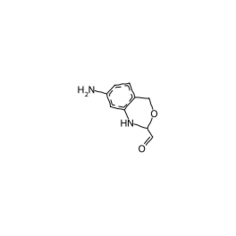 Nc1ccc2c(c1)NC(C=O)OC2